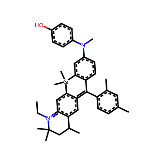 CC[N+]1=c2cc3c(cc2C(C)CC1(C)C)=C(c1ccc(C)cc1C)c1ccc(N(C)c2ccc(O)cc2)cc1[Si]3(C)C